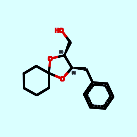 OC[C@@H]1OC2(CCCCC2)O[C@H]1Cc1ccccc1